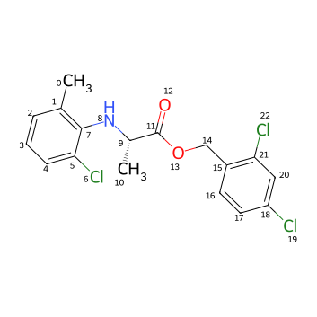 Cc1cccc(Cl)c1N[C@@H](C)C(=O)OCc1ccc(Cl)cc1Cl